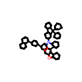 c1ccc(C2(c3ccccc3)c3ccccc3-c3ccc(N(c4cccc(-c5ccc(-c6cccc7ccccc67)cc5)c4)c4ccccc4-c4cccc5oc6ccccc6c45)cc32)cc1